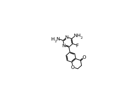 Nc1nc(N)c(F)c(-c2ccc3c(c2)C(=O)CCO3)n1